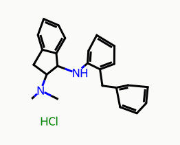 CN(C)C1Cc2ccccc2C1Nc1ccccc1Cc1ccccc1.Cl